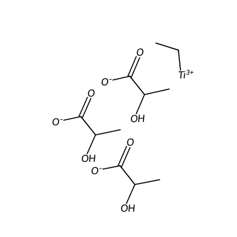 CC(O)C(=O)[O-].CC(O)C(=O)[O-].CC(O)C(=O)[O-].C[CH2][Ti+3]